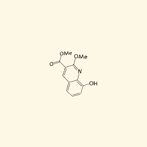 COC(=O)c1cc2cccc(O)c2nc1OC